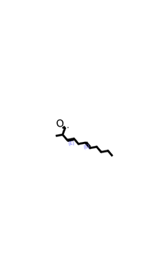 CCCC/C=C/C/C=C/C(C)[C]=O